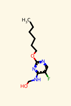 CCCCCCOc1ncc(F)c(NCO)n1